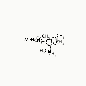 CN(C)Cc1cc(CN(C)C)c(O)c(CN(C)C)c1.CNC